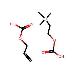 C=CCOC(=O)O.C[Si](C)(C)CCOC(=O)O